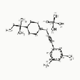 CC(C)(CO)C1CCN(CC#Cc2cc(C(F)(F)F)cc(C(F)(F)F)c2)CC1.O=P(O)(O)O